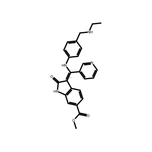 CCNCc1ccc(N/C(=C2\C(=O)Nc3cc(C(=O)OC)ccc32)c2cccnc2)cc1